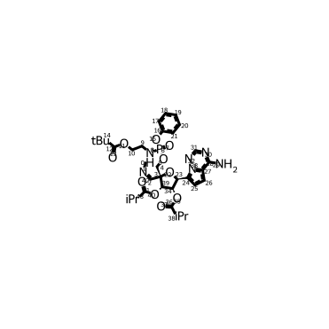 C/N=C\[C@]1(COP(=O)(NCCOC(=O)C(C)(C)C)Oc2ccccc2)O[C@@H](c2ccc3c(N)ncnn23)[C@H](OC(=O)C(C)C)[C@@H]1OC(=O)C(C)C